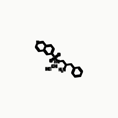 Cl.Cl.NC(CNS(=O)(=O)c1ccc2cnccc2c1)Cc1ccccc1